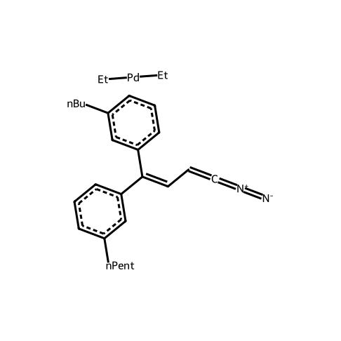 CCCCCc1cccc(C(=CC=C=[N+]=[N-])c2cccc(CCCC)c2)c1.C[CH2][Pd][CH2]C